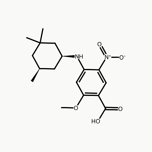 COc1cc(N[C@H]2C[C@@H](C)CC(C)(C)C2)c([N+](=O)[O-])cc1C(=O)O